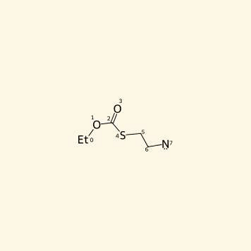 CCOC(=O)SCC[N]